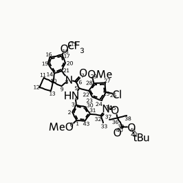 COc1cc(NC(C(=O)N2CC3(CCC3)c3ccc(OC(F)(F)F)cc32)c2ccc(Cl)cc2OC)cc(C(C)=NOC(C)(C)C(=O)OC(C)(C)C)c1